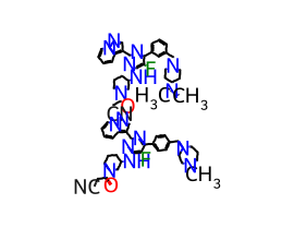 CN(C)C1CCN(Cc2cccc(-c3nc(-c4cnn5ccccc45)nc(N[C@@H]4CCCN(C(=O)CC#N)C4)c3F)c2)CC1.CN1CCCN(Cc2ccc(-c3nc(-c4cnn5ccccc45)nc(N[C@@H]4CCCN(C(=O)CC#N)C4)c3F)cc2)CC1